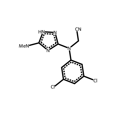 CNc1nc(N(CC#N)c2cc(Cl)cc(Cl)c2)n[nH]1